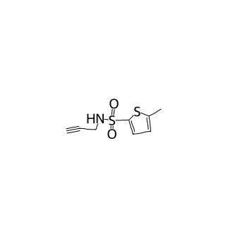 C#CCNS(=O)(=O)c1ccc(C)s1